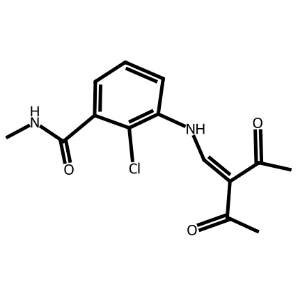 CNC(=O)c1cccc(NC=C(C(C)=O)C(C)=O)c1Cl